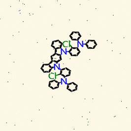 Clc1c(N(c2ccccc2)c2ccccc2)cccc1-n1c2ccccc2c2cc3c4ccccc4n(-c4cccc(N(c5ccccc5)c5ccccc5)c4Cl)c3cc21